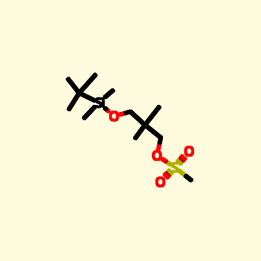 CC(C)(CO[Si](C)(C)C(C)(C)C)COS(C)(=O)=O